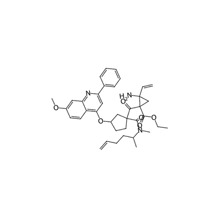 C=CCCC(C)N(C)C(=O)C1(C(=O)C2(C(=O)OCC)CC2(N)C=C)CCC(Oc2cc(-c3ccccc3)nc3cc(OC)ccc23)C1